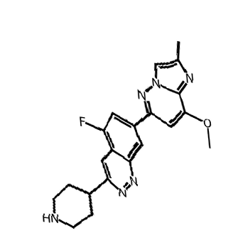 COc1cc(-c2cc(F)c3cc(C4CCNCC4)nnc3c2)nn2cc(C)nc12